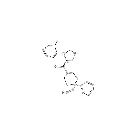 C=CC1(c2ccccc2)CCN(C(=O)[C@@H]2CNC[C@H]2c2ccccc2Br)CC1